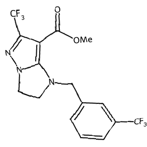 COC(=O)c1c(C(F)(F)F)nn2c1N(Cc1cccc(C(F)(F)F)c1)CC2